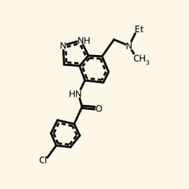 CCN(C)Cc1ccc(NC(=O)c2ccc(Cl)cc2)c2cn[nH]c12